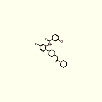 O=C(Nc1cc(Cl)cnc1N1CCC(CC(=O)N2CCCCC2)CC1)c1cccc(Cl)c1